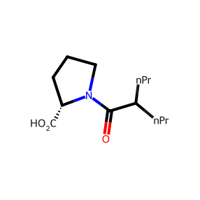 CCCC(CCC)C(=O)N1CCC[C@H]1C(=O)O